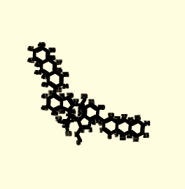 CCC1=Cc2c(-c3ccc4cc5ccccc5cc4c3)cccc2[CH]1[Zr]([CH]1C(CC)=Cc2c(-c3ccc4cc5ccccc5cc4c3)cccc21)=[Si](C)C